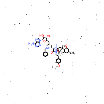 COc1ccc(CCNC(=O)[C@H](CC[C@H](CNCc2ccccc2)CC2OC(n3cnc4c(N)ncnc43)C(O)C2O)NC(=O)CC(C)(C)C2=C(C)CC(C)=CC2=O)cc1